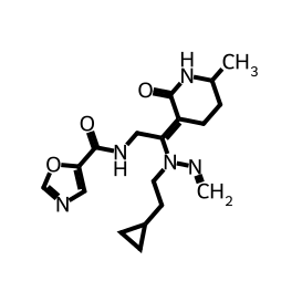 C=NN(CCC1CC1)/C(CNC(=O)c1cnco1)=C1\CCC(C)NC1=O